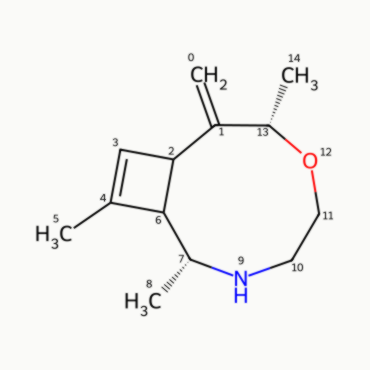 C=C1C2C=C(C)C2[C@@H](C)NCCO[C@H]1C